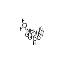 CC(C)N1CCC(C)N2C(=O)c3c(O)c(=O)c(C(=O)NCc4ccc(F)cc4F)cn3CC12